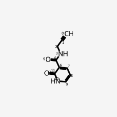 C#CCNC(=O)c1ccc[nH]c1=O